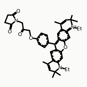 CCN1c2cc3c(cc2C(C)=CC1(C)C)C(c1ccc(OCC(=O)CN2C(=O)CCC2=O)cc1)=c1cc2c(cc1O3)=[N+](CC)C(C)(C)C=C2C